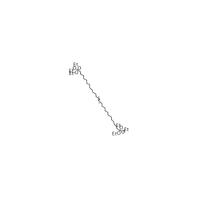 CCOC(CCCCCCCCCCCCSSCCCCCCCCCCCCC(OCC)(OCC)OCC)(OCC)OCC